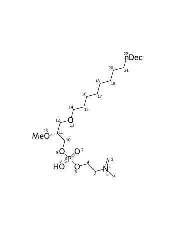 C=[N+](C)CCOP(=O)(O)OC[C@@H](COCCCCCCCCCCCCCCCCCC)OC